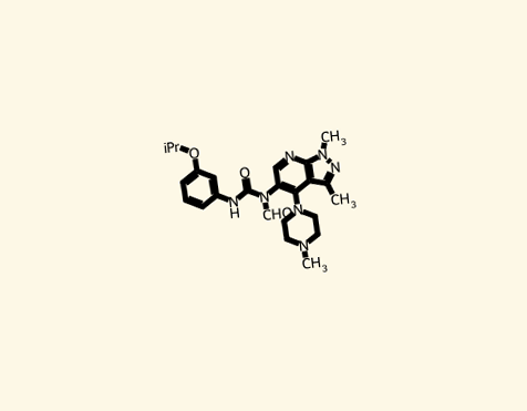 Cc1nn(C)c2ncc(N(C=O)C(=O)Nc3cccc(OC(C)C)c3)c(N3CCN(C)CC3)c12